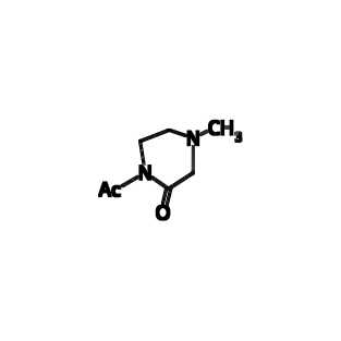 CC(=O)N1CCN(C)CC1=O